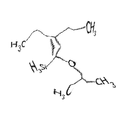 CCC(CC)=C([SiH3])OC(C)C